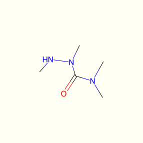 CNN(C)C(=O)N(C)C